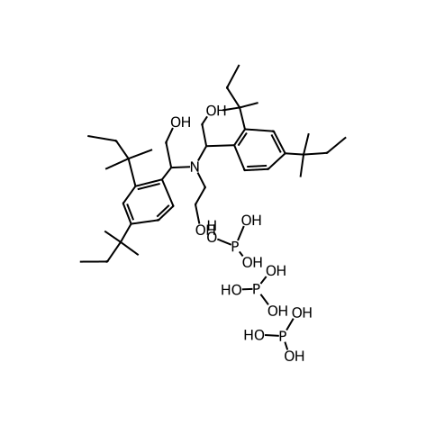 CCC(C)(C)c1ccc(C(CO)N(CCO)C(CO)c2ccc(C(C)(C)CC)cc2C(C)(C)CC)c(C(C)(C)CC)c1.OP(O)O.OP(O)O.OP(O)O